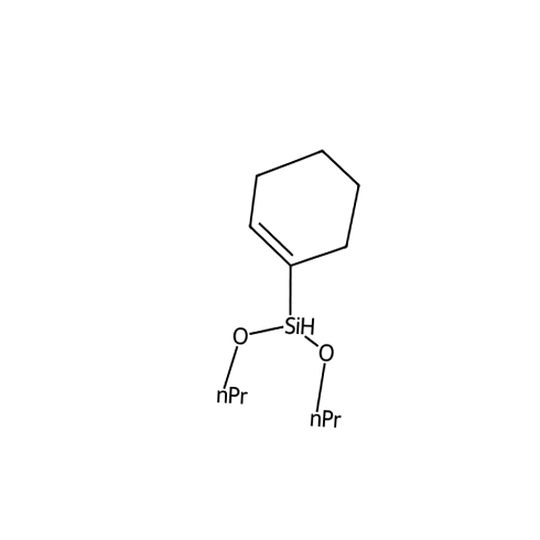 CCCO[SiH](OCCC)C1=CCCCC1